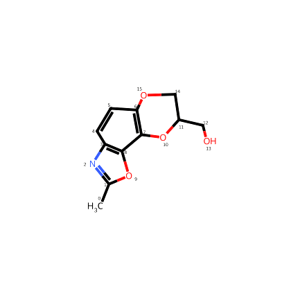 Cc1nc2ccc3c(c2o1)OC(CO)CO3